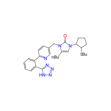 CCCCc1cn(C2CCCC2C(C)(C)C)c(=O)n1Cc1ccc(-c2ccccc2-c2nnn[nH]2)nc1